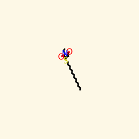 CCCCCCCCCCCCCCSC1CC(=O)N(CC)C1=O